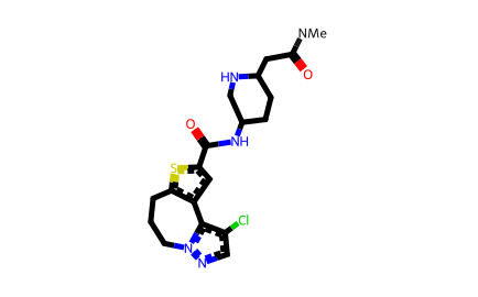 CNC(=O)CC1CCC(NC(=O)c2cc3c(s2)CCCn2ncc(Cl)c2-3)CN1